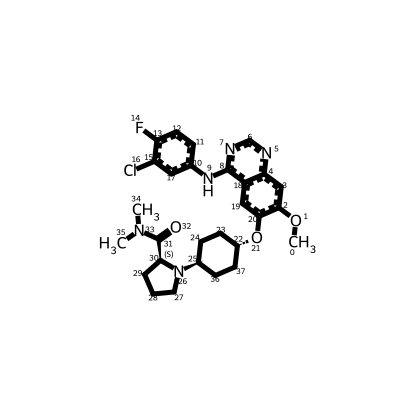 COc1cc2ncnc(Nc3ccc(F)c(Cl)c3)c2cc1O[C@H]1CC[C@H](N2CCC[C@H]2C(=O)N(C)C)CC1